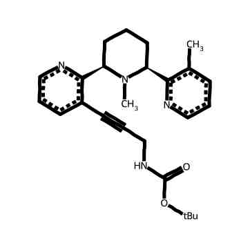 Cc1cccnc1[C@@H]1CCC[C@H](c2ncccc2C#CCNC(=O)OC(C)(C)C)N1C